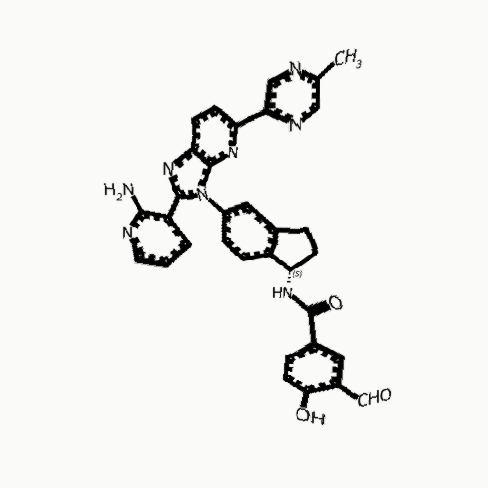 Cc1cnc(-c2ccc3nc(-c4cccnc4N)n(-c4ccc5c(c4)CC[C@@H]5NC(=O)c4ccc(O)c(C=O)c4)c3n2)cn1